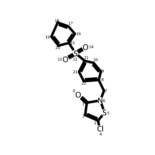 O=c1cc(Cl)sn1Cc1ccc(S(=O)(=O)c2ccccc2)cc1